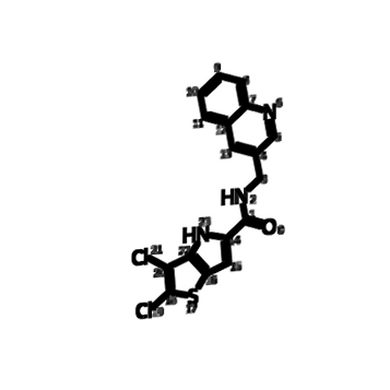 O=C(NCc1cnc2ccccc2c1)c1cc2sc(Cl)c(Cl)c2[nH]1